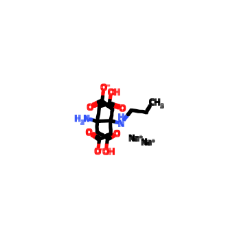 CCCNC(CC(=O)[O-])(CC(=O)[O-])C(N)(CC(=O)O)CC(=O)O.[Na+].[Na+]